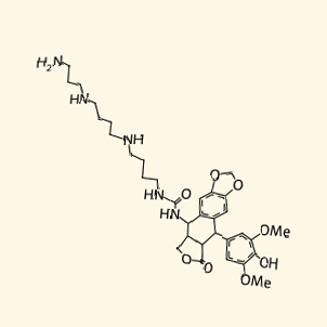 COc1cc(C2c3cc4c(cc3C(NC(=O)NCCCCNCCCCNCCCN)C3COC(=O)C23)OCO4)cc(OC)c1O